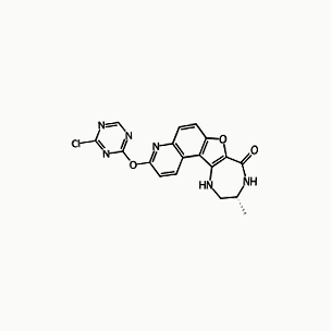 C[C@@H]1CNc2c(oc3ccc4nc(Oc5ncnc(Cl)n5)ccc4c23)C(=O)N1